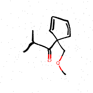 COCC1(C(=O)C(C)C)C=CC=C1